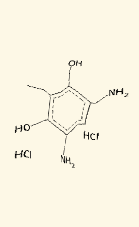 Cc1c(O)c(N)cc(N)c1O.Cl.Cl